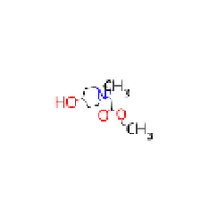 CCOC(=O)C[N+]1(C)CCC(O)CC1